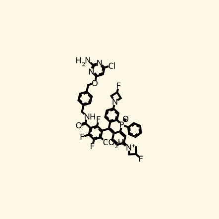 Nc1nc(Cl)cc(OCc2ccc(CNC(=O)c3c(F)c(F)c(C(=O)O)c(C4=C5C=CC(=[N+]6CC(F)C6)C=C5P(=O)(c5ccccc5)c5cc(N6CC(F)C6)ccc54)c3F)cc2)n1